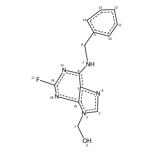 OCn1cnc2c(NCc3ccccc3)nc(F)nc21